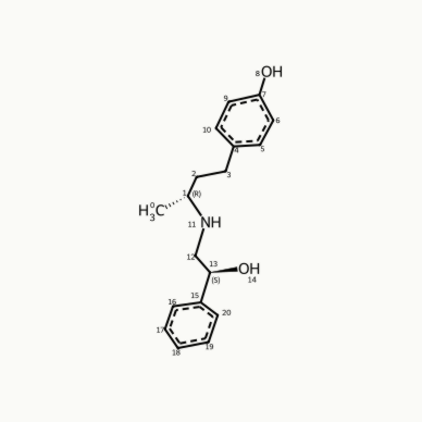 C[C@H](CCc1ccc(O)cc1)NC[C@@H](O)c1ccccc1